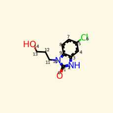 O=c1[nH]c2cc(Cl)ccc2n1CCCO